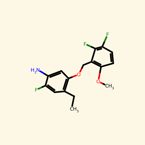 CCc1cc(F)c(N)cc1OCc1c(OC)ccc(F)c1F